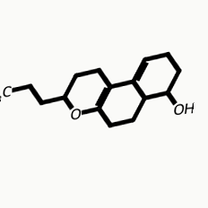 CCCC1CCC2=C(CCC3C2=CCCC3O)O1